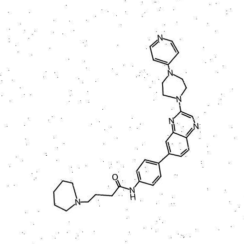 O=C(CCCN1CCCCC1)Nc1ccc(-c2ccc3ncc(N4CCN(c5ccncc5)CC4)nc3c2)cc1